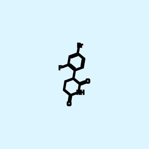 O=C1CCC(c2ccc(Br)cc2F)C(=O)N1